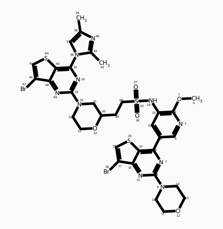 COc1ncc(-c2nc(N3CCOCC3)nc3c(Br)csc23)cc1NS(=O)(=O)CCC1CN(c2nc(-n3cc(C)nc3C)c3scc(Br)c3n2)CCO1